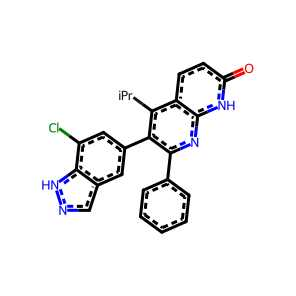 CC(C)c1c(-c2cc(Cl)c3[nH]ncc3c2)c(-c2ccccc2)nc2[nH]c(=O)ccc12